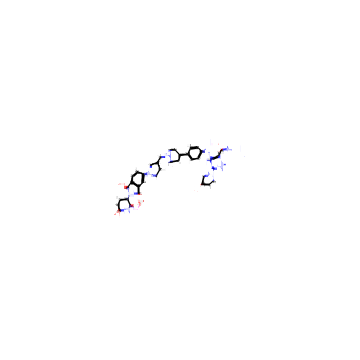 NC(=O)c1nnc(N2CC[C@@H](O)C2)nc1Nc1ccc(C2CCN(CC3CCN(c4ccc5c(c4)C(=O)N(C4CCC(=O)NC4=O)C5=O)C3)CC2)cc1